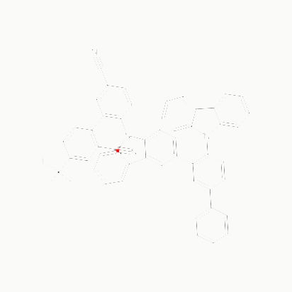 N#Cc1ccc(-n2c3ccccc3c3cc(-c4cc(-c5ccccc5)ccc4-n4c5ccccc5c5ccccc54)ccc32)c(-c2ccc(C(F)(F)F)cc2C#N)c1